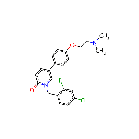 CN(C)CCOc1ccc(-c2ccc(=O)n(Cc3ccc(Cl)cc3F)c2)cc1